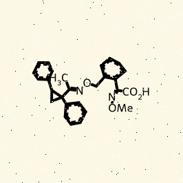 CON=C(C(=O)O)c1ccccc1CON=C(C)C1(c2ccccc2)CC1c1ccccc1